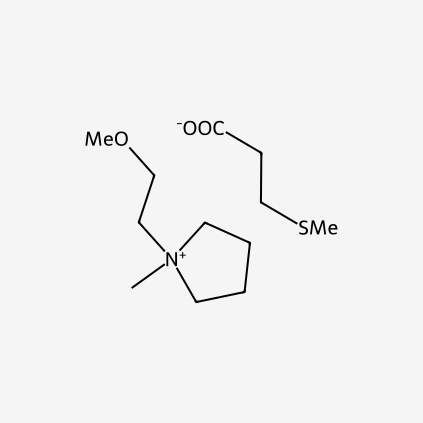 COCC[N+]1(C)CCCC1.CSCCC(=O)[O-]